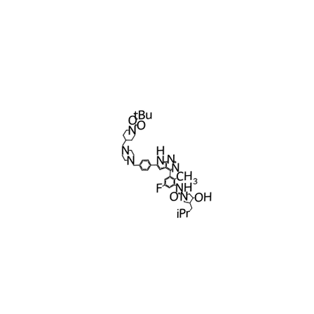 Cc1c(NC(=O)N2CC(O)C(CC(C)C)C2)cc(F)cc1-c1ncnc2[nH]c(-c3ccc(CN4CCN(CC5CCN(C(=O)OC(C)(C)C)CC5)CC4)cc3)cc12